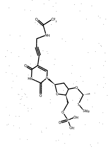 CSS[C@@H](C)OC1C[C@H](n2cc(C#CCNC(=O)C(F)(F)F)c(=O)[nH]c2=O)O[C@@H]1COP(=O)(O)O